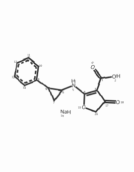 O=C(O)C1=C(NC2CC2c2ccccc2)OCC1=O.[NaH]